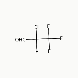 O=CC(F)(Cl)C(F)(F)F